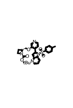 Cc1ccc(S(=O)(=O)n2c(-c3ccncc3OC[C@H]3CCN3C(=O)OC(C)(C)C)cc3ncccc32)cc1